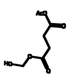 CC(=O)OC(=O)CCC(=O)OCO